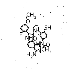 CCOc1ccc(F)c(C(Nc2ccc3c(N)nccc3c2)C(=O)N2CCCC2c2cc(NC(C)=O)ccc2S)c1